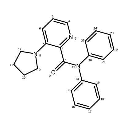 O=C(c1ncccc1N1CCCC1)N(c1ccccc1)c1ccccc1